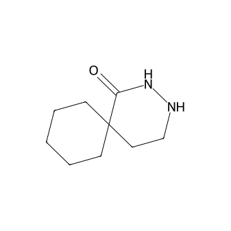 O=C1NNCCC12CCCCC2